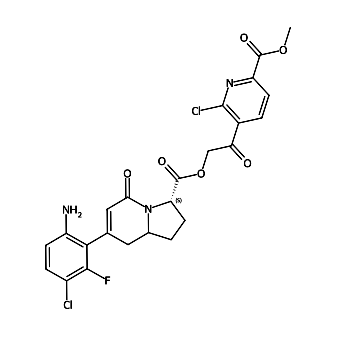 COC(=O)c1ccc(C(=O)COC(=O)[C@@H]2CCC3CC(c4c(N)ccc(Cl)c4F)=CC(=O)N32)c(Cl)n1